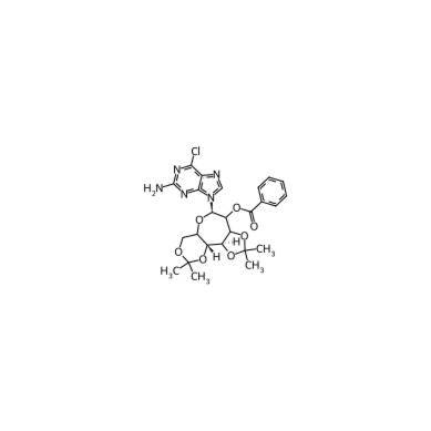 CC1(C)OCC2O[C@@H](n3cnc4c(Cl)nc(N)nc43)C(OC(=O)c3ccccc3)C3OC(C)(C)O[C@H]3[C@@H]2O1